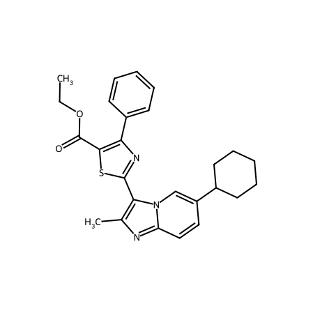 CCOC(=O)c1sc(-c2c(C)nc3ccc(C4CCCCC4)cn23)nc1-c1ccccc1